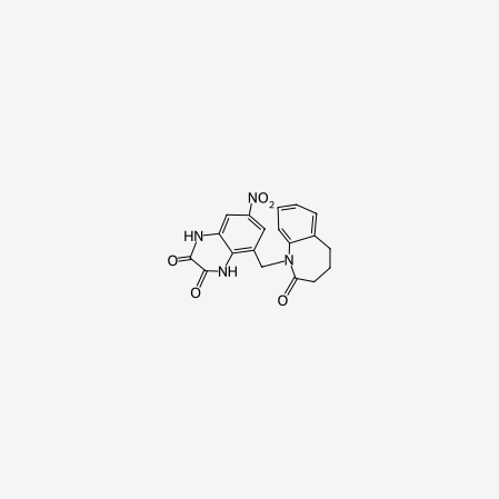 O=C1CCCc2ccccc2N1Cc1cc([N+](=O)[O-])cc2[nH]c(=O)c(=O)[nH]c12